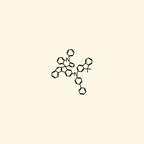 CC1(C)c2ccccc2-c2ccc(N(c3ccc(-c4ccccc4)cc3)c3ccc4c(c3)C3(c5ccccc5N(c5ccccc5)c5ccccc53)c3ccc5ccccc5c3-4)cc21